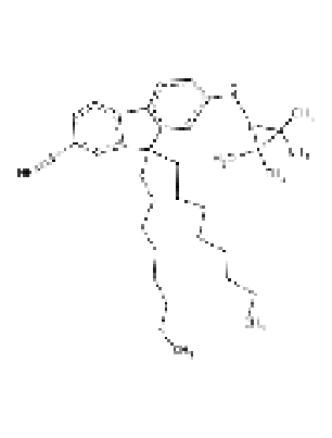 B=Bc1ccc2c(c1)C(CCCCCCCC)(CCCCCCCC)c1cc(BB3C(C)(C)C3(C)C)ccc1-2